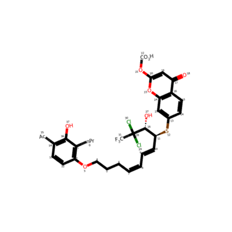 CCCc1c(OCCC/C=C\C=C\[C@H](Sc2ccc3c(=O)cc(OC(=O)O)oc3c2)[C@@H](O)C(Cl)(Cl)C(F)(F)F)ccc(C(C)=O)c1O